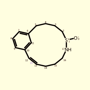 [O-][S+]1CCCCc2cccc(c2)/C=C\CCCN1